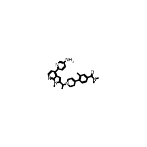 Cc1cc(C(=O)N(C)C)ccc1C1=CCN(C(C)c2cc3c(-c4ccc(N)cn4)ccnc3n2C)CC1